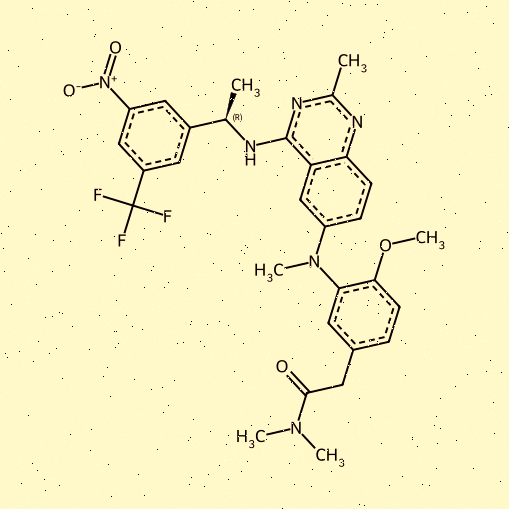 COc1ccc(CC(=O)N(C)C)cc1N(C)c1ccc2nc(C)nc(N[C@H](C)c3cc([N+](=O)[O-])cc(C(F)(F)F)c3)c2c1